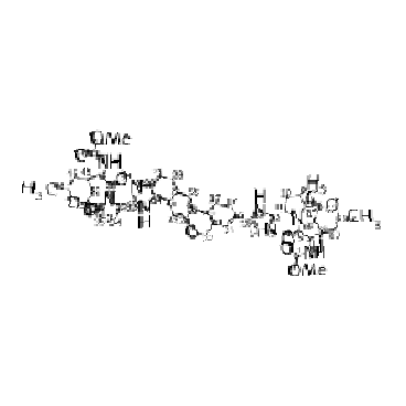 COC(=O)NC1C(=O)N2C(CC[C@H]2c2ncc(-c3ccc4c(c3)COc3cc5c(ccc6nc([C@@H]7CC[C@H]8N7C(=O)[C@@H](NC(=O)OC)C7C[C@@H](C)O[C@]8(C)C7)[nH]c65)cc3-4)[nH]2)[C@@]2(C)C[C@@H]1C[C@@H](C)O2